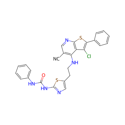 N#Cc1cnc2sc(-c3ccccc3)c(Cl)c2c1NCCc1cnc(NC(=O)Nc2ccccc2)s1